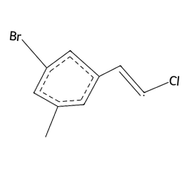 Cc1cc(Br)cc(C=[C]Cl)c1